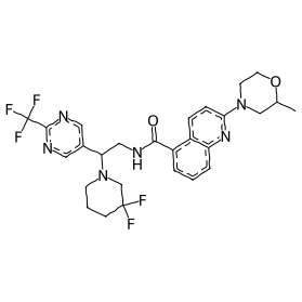 CC1CN(c2ccc3c(C(=O)NCC(c4cnc(C(F)(F)F)nc4)N4CCCC(F)(F)C4)cccc3n2)CCO1